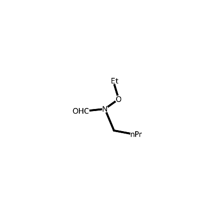 [CH2]CCCN(C=O)OCC